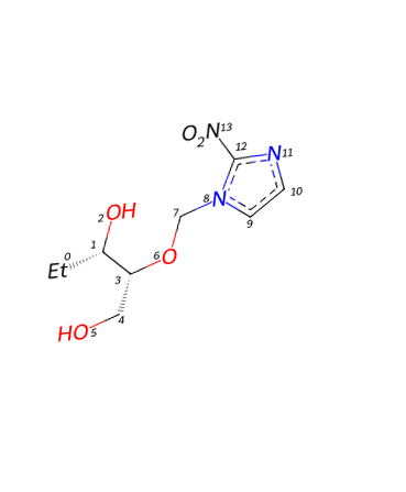 CC[C@H](O)[C@@H](CO)OCn1ccnc1[N+](=O)[O-]